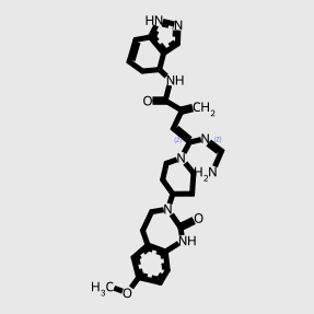 C=C(/C=C(\N=C/N)N1CCC(N2CCc3cc(OC)ccc3NC2=O)CC1)C(=O)NC1CC=Cc2[nH]ncc21